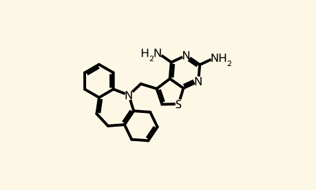 Nc1nc(N)c2c(CN3C4=CC=CCC4=CCC4=C3CC=CC4)csc2n1